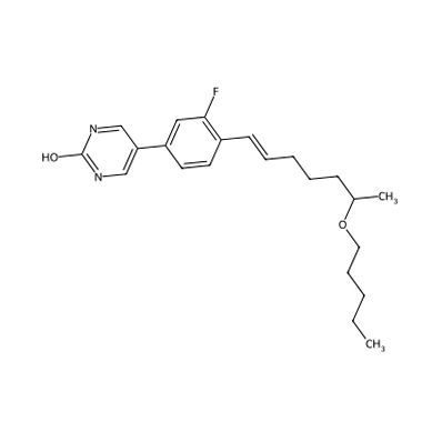 CCCCCOC(C)CCC/C=C/c1ccc(-c2cnc(O)nc2)cc1F